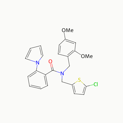 COc1ccc(CN(Cc2ccc(Cl)s2)C(=O)c2ccccc2-n2cccc2)c(OC)c1